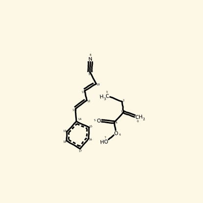 C=C(CC)C(=O)OO.N#CC=CC=Cc1ccccc1